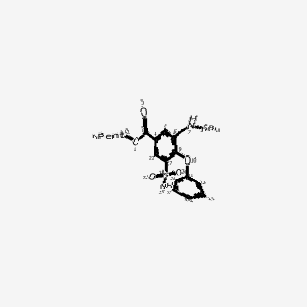 CCCCCOC(=O)c1cc(NCCCC)c(Oc2ccccc2)c(S(N)(=O)=O)c1